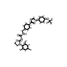 Cc1cc(C)c(N2CCS/C2=N\C(=O)NCc2ccc(-c3ncn(-c4ccc(OC(F)(F)F)cc4)n3)cc2)c(C)c1